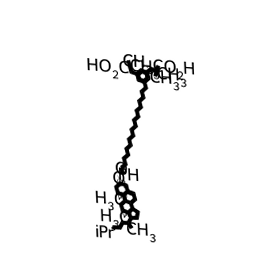 CC(C)CCCC(C)C1CCC2C3CC=C4C[C@@H](OPOCCCCCCCCCCCCCCCCCc5cc(CC(C)(C)C(=O)O)cc(CC(C)(C)C(=O)O)c5)CC[C@]4(C)C3CC[C@]12C